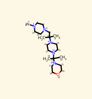 CC(C)N1CCN(CC(C)(C)N2CCN(C(C)(C)N3CCOCC3)CC2)CC1